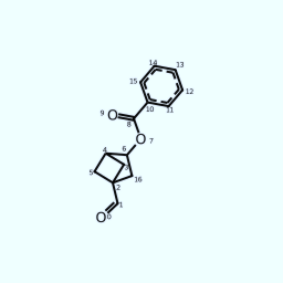 O=CC12CC(C1)C(OC(=O)c1ccccc1)C2